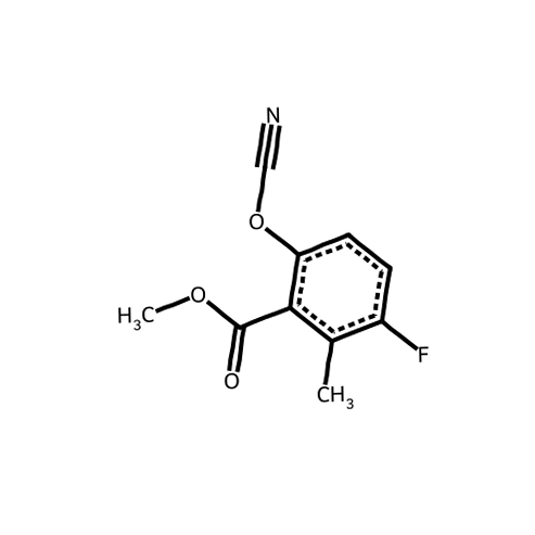 COC(=O)c1c(OC#N)ccc(F)c1C